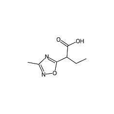 CCC(C(=O)O)c1nc(C)no1